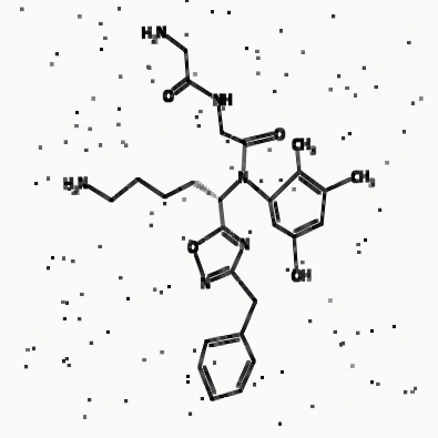 Cc1cc(O)cc(N(C(=O)CNC(=O)CN)[C@@H](CCCCN)c2nc(Cc3ccccc3)no2)c1C